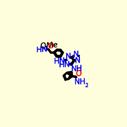 CONC(=O)Cc1cccc(Nc2nc3ncnc-3c(NC3C4C=CC(C4)C3C(N)=O)[nH]2)c1